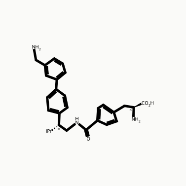 CC(C)[C@@H](CNC(=O)c1ccc(C[C@H](N)C(=O)O)cc1)c1ccc(-c2cccc(CN)c2)cc1